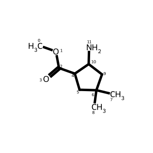 COC(=O)C1CC(C)(C)CC1N